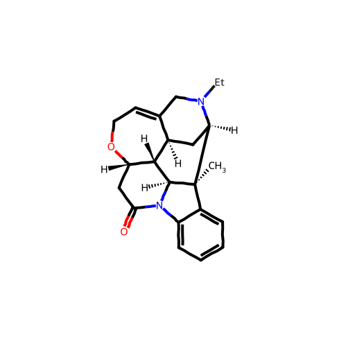 CCN1CC2=CCO[C@H]3CC(=O)N4c5ccccc5[C@@]5(C)[C@@H]4[C@H]3[C@@H]2C[C@@H]15